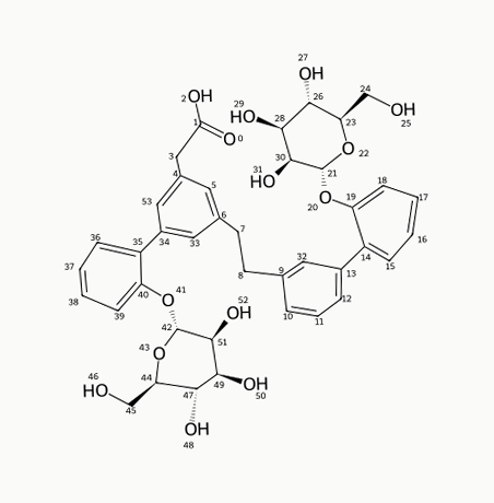 O=C(O)Cc1cc(CCc2cccc(-c3ccccc3O[C@H]3O[C@H](CO)[C@@H](O)[C@H](O)[C@@H]3O)c2)cc(-c2ccccc2O[C@H]2O[C@H](CO)[C@@H](O)[C@H](O)[C@@H]2O)c1